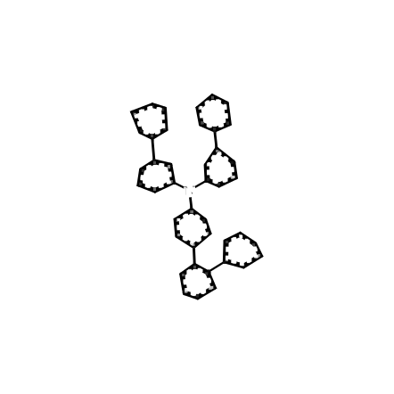 c1ccc(-c2cccc(N(c3ccc(-c4ccccc4-c4ccccc4)cc3)c3cccc(-c4ccccc4)c3)c2)cc1